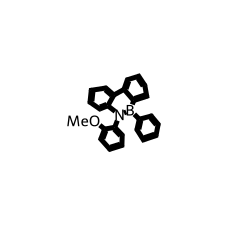 COc1ccccc1N1B(c2ccccc2)c2ccccc2-c2ccccc21